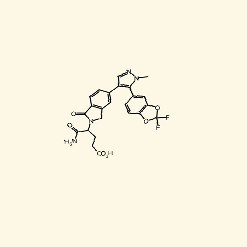 Cn1ncc(-c2ccc3c(c2)CN(C(CCC(=O)O)C(N)=O)C3=O)c1-c1ccc2c(c1)OC(F)(F)O2